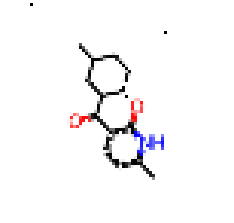 Cc1ccc(C(=O)C2CCCC(C)C2)c(=O)[nH]1